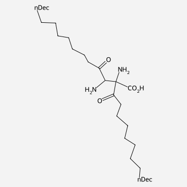 CCCCCCCCCCCCCCCCCC(=O)C(N)C(N)(C(=O)O)C(=O)CCCCCCCCCCCCCCCCC